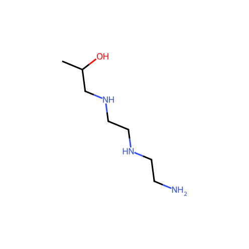 CC(O)CNCCNCCN